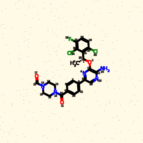 C[C@@H](Oc1nc(-c2ccc(C(=O)N3CCN([C]=O)CC3)cc2)cnc1N)c1c(Cl)ccc(F)c1Cl